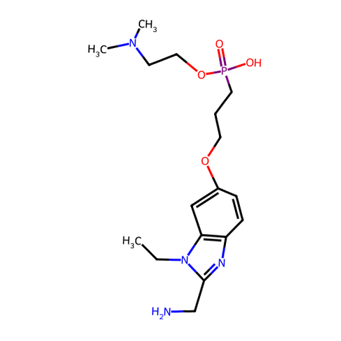 CCn1c(CN)nc2ccc(OCCCP(=O)(O)OCCN(C)C)cc21